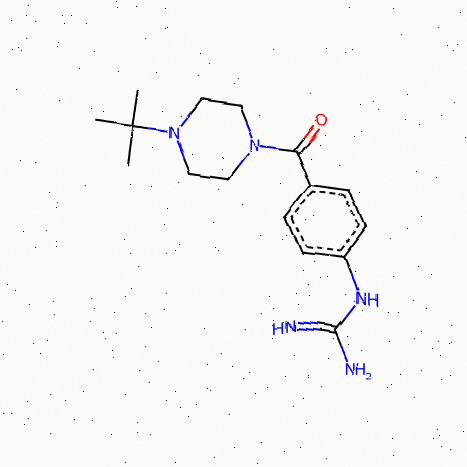 CC(C)(C)N1CCN(C(=O)c2ccc(NC(=N)N)cc2)CC1